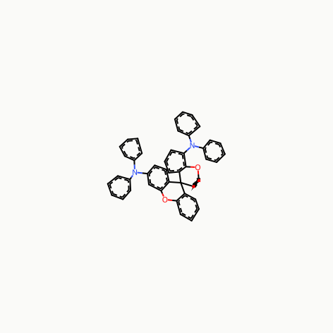 c1ccc(N(c2ccccc2)c2ccc3c(c2)Oc2ccccc2C32c3ccccc3Oc3c(N(c4ccccc4)c4ccccc4)cccc32)cc1